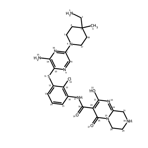 CC1(CN)CCN(c2cnc(Sc3cccc(NC(=O)c4c(O)nc5n(c4=O)CCNC5)c3Cl)c(N)n2)CC1